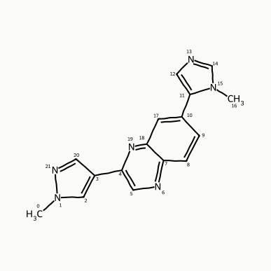 Cn1cc(-c2cnc3ccc(-c4cncn4C)cc3n2)cn1